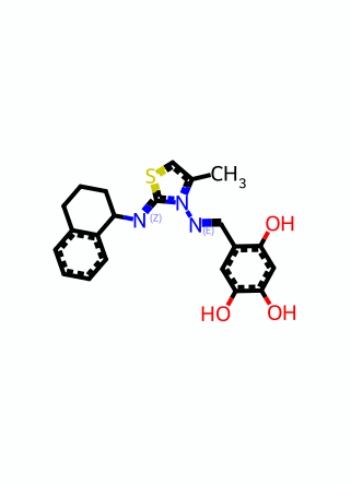 Cc1cs/c(=N\C2CCCc3ccccc32)n1/N=C/c1cc(O)c(O)cc1O